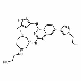 Cc1cc(Nc2nc(N[C@H]3C[C@@H](C)CC[C@@H](NCCC#N)C3)nc3cc(-c4cnn(CCF)c4)ccc23)n[nH]1